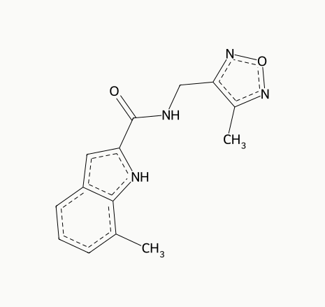 Cc1nonc1CNC(=O)c1cc2cccc(C)c2[nH]1